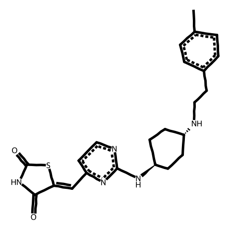 Cc1ccc(CCN[C@H]2CC[C@H](Nc3nccc(/C=C4\SC(=O)NC4=O)n3)CC2)cc1